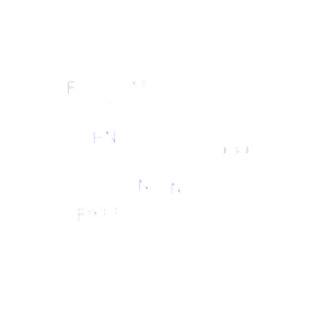 CCOC(=O)n1nc(C(C)(C)C)cc1NC(=O)CC